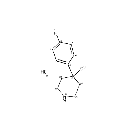 Cl.OC1(c2ccc(F)cc2)CCNCC1